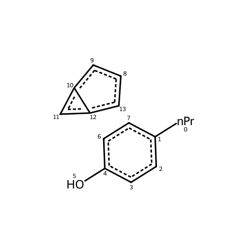 CCCc1ccc(O)cc1.c1cc2cc-2c1